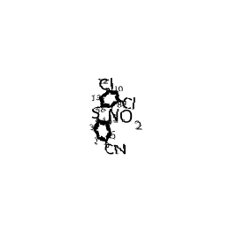 N#Cc1ccc(Sc2cc(Cl)cc(Cl)c2)c([N+](=O)[O-])c1